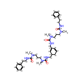 CN(CCCN(C)C(=O)NCC1=CC(CNC(=O)N(C)CCCN(C)C(=O)NCCc2ccccc2)CC=C1)C(=O)NCCc1ccccc1